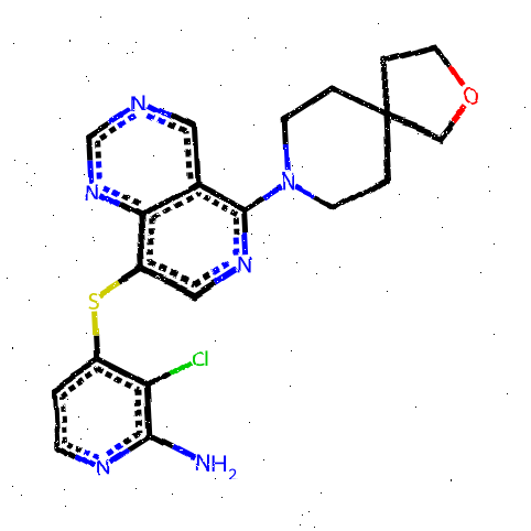 Nc1nccc(Sc2cnc(N3CCC4(CCOC4)CC3)c3cncnc23)c1Cl